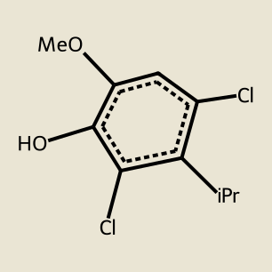 COc1cc(Cl)c(C(C)C)c(Cl)c1O